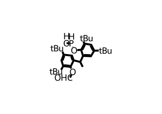 CC(c1cc(C(C)(C)C)cc(C(C)(C)C)c1OC=O)c1cc(C(C)(C)C)cc(C(C)(C)C)c1OPO